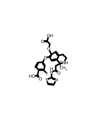 C[C@]1(CC(=O)Nc2nccs2)NCCc2cc(OCC(=O)O)c(Oc3ccc(C(=O)O)c(F)c3)cc21